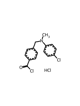 CN(Cc1ccc(C(=O)Cl)cc1)c1ccc(Cl)cc1.Cl